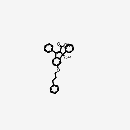 O=C(O)C1=C(c2ccccc2)c2ccc(OCCCc3ccccc3)cc2C1(O)c1ccccc1